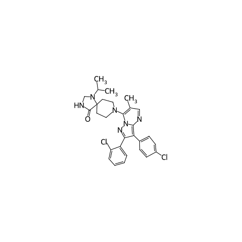 Cc1cnc2c(-c3ccc(Cl)cc3)c(-c3ccccc3Cl)nn2c1N1CCC2(CC1)C(=O)NCN2C(C)C